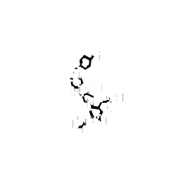 O=C(O)Cc1cc(Cl)c(OC(=O)C(F)(F)F)cc1N1C[C@H](NC2CCN(Cc3ccc(Cl)cc3)CC2)[C@@H](O)C1